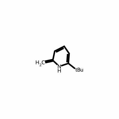 C=C1C=CC=C(C(C)(C)C)N1